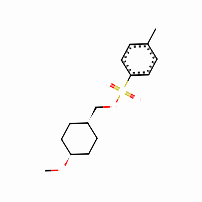 CO[C@H]1CC[C@@H](COS(=O)(=O)c2ccc(C)cc2)CC1